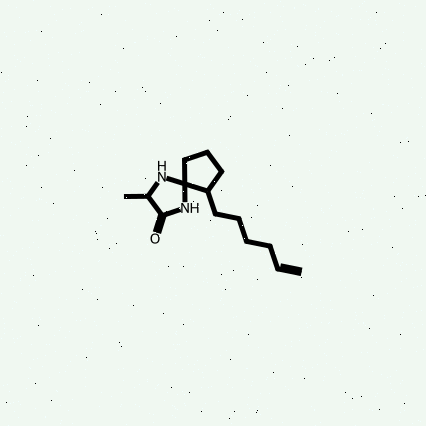 C=CCCCCC1CCCC12NC(=O)C(C)N2